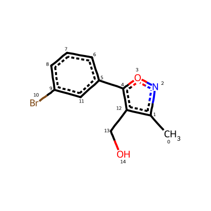 Cc1noc(-c2cccc(Br)c2)c1CO